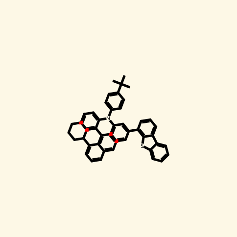 CC(C)(C)c1ccc(N(c2cccc(-c3cccc4c3sc3ccccc34)c2)c2ccccc2-c2cccc3cccc(C4CCCCC4)c23)cc1